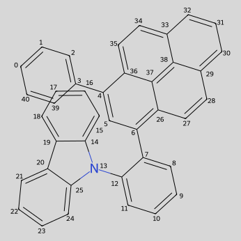 c1ccc(-c2cc(-c3ccccc3-n3c4ccccc4c4ccccc43)c3ccc4cccc5ccc2c3c54)cc1